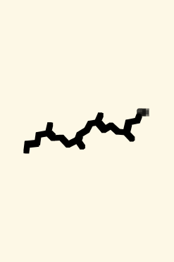 CC=CCC(C)=CCCC(C)=CCCC(C)=CCCC(C)=CCO